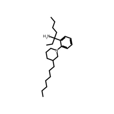 CCCCCCCC1CCCN(c2ccccc2C(N)(CC)CCCC)C1